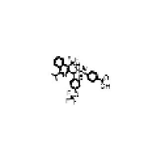 CC(C)c1nc(C(NS(=O)(=O)c2ccc(C(=O)O)cc2)c2ccc(OC(F)(F)F)cc2)c(C(F)(F)F)c2ccccc12